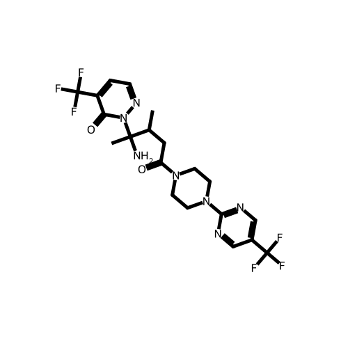 CC(CC(=O)N1CCN(c2ncc(C(F)(F)F)cn2)CC1)C(C)(N)n1nccc(C(F)(F)F)c1=O